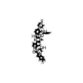 CC#CC(=O)Nc1cc(Nc2nc(-c3ccnc(N4CCn5c(cc6c5CC(C)(C)C6)C4=O)c3CO)cn(C)c2=O)ccc1N1CCN(C)CC1